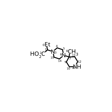 CCC(C(=O)O)N1CCN(C2(C)CCNCC2)CC1